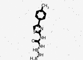 BBBNC(=O)Nc1nc(-c2ccc(C)cc2)cs1